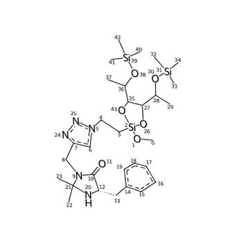 CO[Si]1(CCn2cc(CN3C(=O)[C@H](Cc4ccccc4)NC3(C)C)nn2)OC(C(C)O[Si](C)(C)C)C(C(C)O[Si](C)(C)C)O1